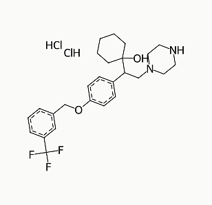 Cl.Cl.OC1(C(CN2CCNCC2)c2ccc(OCc3cccc(C(F)(F)F)c3)cc2)CCCCC1